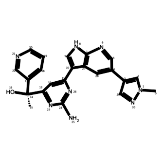 Cn1cc(-c2cnc3[nH]cc(-c4cc([C@@](C)(O)c5cccnc5)nc(N)n4)c3c2)cn1